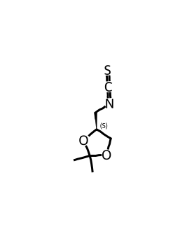 CC1(C)OC[C@H](CN=C=S)O1